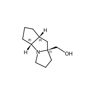 OC[C@@]12CCCN1[C@@H]1CCC[C@@H]1C2